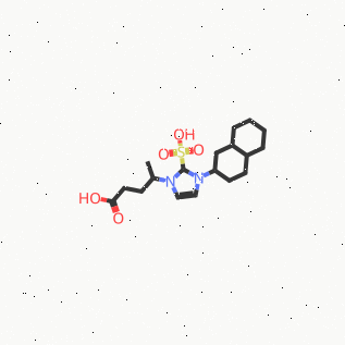 CC(CCC(=O)O)N1C=CN(C2CCC3CCCCC3C2)C1S(=O)(=O)O